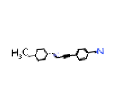 CC[C@H]1CC[C@H](/C=C/C#Cc2ccc(C#N)cc2)CC1